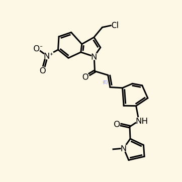 Cn1cccc1C(=O)Nc1cccc(/C=C/C(=O)n2cc(CCl)c3ccc([N+](=O)[O-])cc32)c1